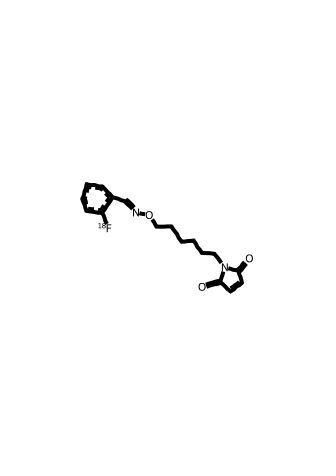 O=C1C=CC(=O)N1CCCCCCON=Cc1ccccc1[18F]